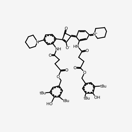 CC(C)(C)c1cc(COC(=O)CCC(=O)NC2=CC(=[N+]3CCCCC3)C=C/C2=C2\C(=O)C(c3ccc(N4CCCCC4)cc3NC(=O)CCC(=O)OCc3cc(C(C)(C)C)c(O)c(C(C)(C)C)c3)=C2[O-])cc(C(C)(C)C)c1O